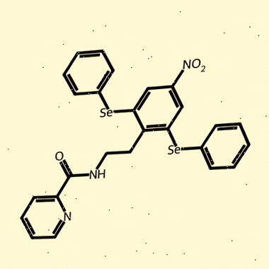 O=C(NCCc1c([Se]c2ccccc2)cc([N+](=O)[O-])cc1[Se]c1ccccc1)c1ccccn1